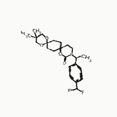 C[C@@H](c1ccc(C(F)F)cc1)N1CCC2(CCC3(CC2)OCC(C)(C)CO3)OC1=O